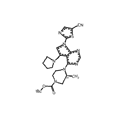 C[C@H]1CN(C(=O)OC(C)(C)C)CCN1c1ncnc2c1c(N1CCCC1)cn2-c1ncc(C#N)s1